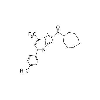 Cc1ccc(-c2cc(C(F)(F)F)n3nc(C(=O)C4CCCCCCC4)cc3n2)cc1